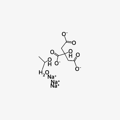 CC(C)O.O.O=C([O-])CC(O)(CC(=O)[O-])C(=O)[O-].[Na+].[Na+].[Na+]